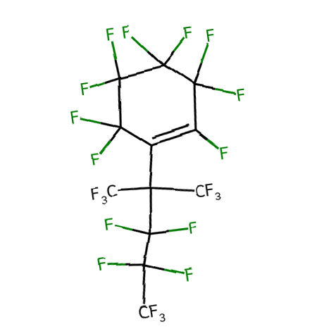 FC1=C(C(C(F)(F)F)(C(F)(F)F)C(F)(F)C(F)(F)C(F)(F)F)C(F)(F)C(F)(F)C(F)(F)C1(F)F